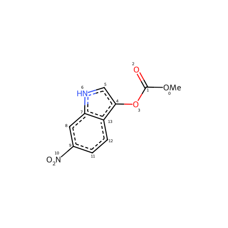 COC(=O)Oc1c[nH]c2cc([N+](=O)[O-])ccc12